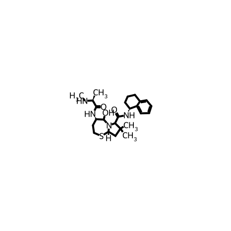 CN[C@@H](C)C(=O)N[C@H]1CCS[C@H]2CC(C)(C)C(C(=O)N[C@@H]3CCCc4ccccc43)N2C1O